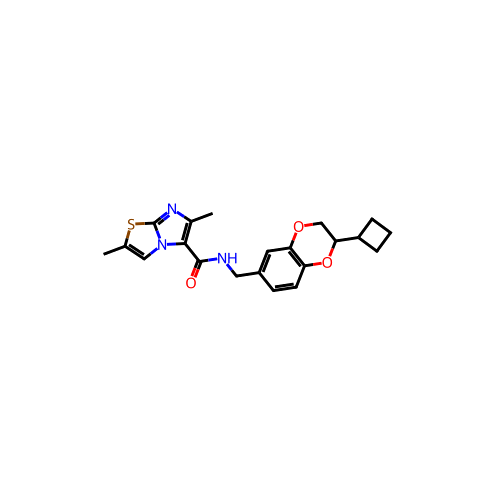 Cc1cn2c(C(=O)NCc3ccc4c(c3)OCC(C3CCC3)O4)c(C)nc2s1